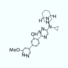 COc1cc(-c2ccc(-c3ncc(N(C4CC4)[C@@H]4C[C@H]5CCC[C@@H](C4)N5)nn3)c(O)c2)cnn1